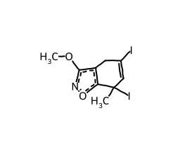 COc1noc2c1CC(I)=CC2(C)I